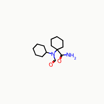 NC(=O)C1(N(C=O)C2CCCCC2)CCCCC1